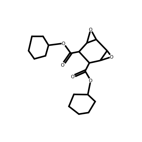 O=C(OC1CCCCC1)C1C2OC2C2OC2C1C(=O)OC1CCCCC1